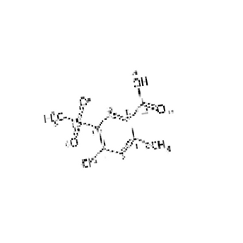 Cc1cc(Cl)c(S(C)(=O)=O)cc1C(=O)O